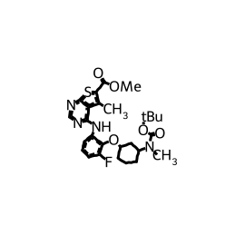 COC(=O)c1sc2ncnc(Nc3cccc(F)c3OC3CCCC(N(C)C(=O)OC(C)(C)C)C3)c2c1C